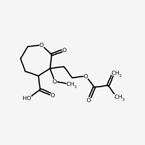 C=C(C)C(=O)OCCC1(OC)C(=O)OCCCC1C(=O)O